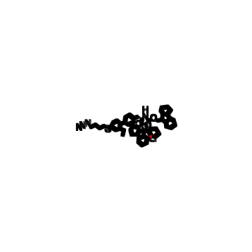 CCc1cc(OCCCCN=[N+]=[N-])ccc1-c1ccc(C[C@H](NC(=O)OCC2c3ccccc3-c3ccccc32)C(=O)OC(c2ccccc2)(c2ccccc2)c2ccccc2Cl)cc1